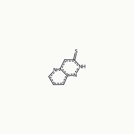 S=c1cc2ncccc2n[nH]1